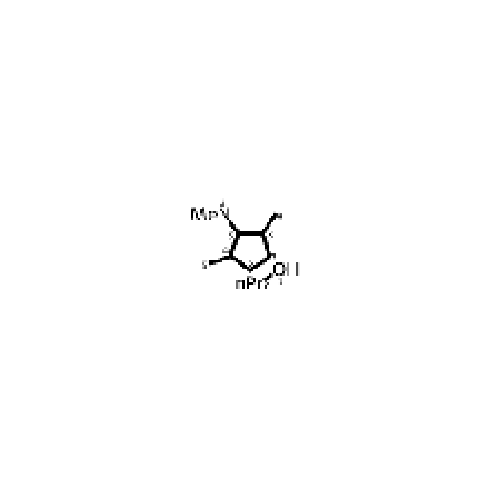 CCCO.CNC1C(C)CCC1C